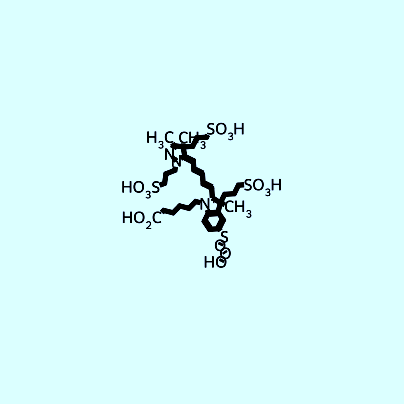 CC1=NN(CCCS(=O)(=O)O)\C(=C/C=C/C=C/C2=[N+](CCCCCC(=O)O)c3ccc(SOOO)cc3C2(C)CCCS(=O)(=O)O)C1(C)CCCS(=O)(=O)O